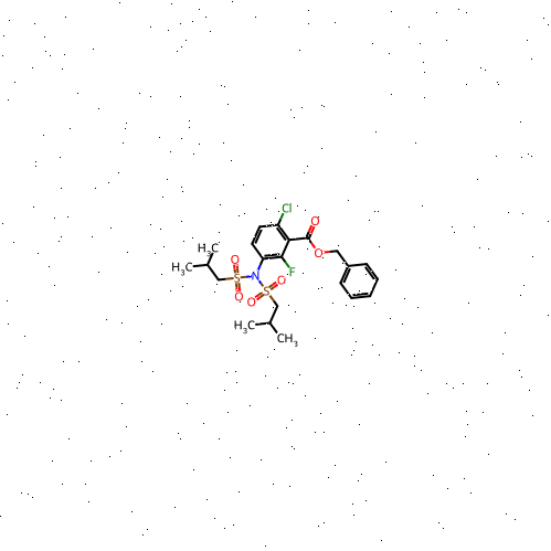 CC(C)CS(=O)(=O)N(c1ccc(Cl)c(C(=O)OCc2ccccc2)c1F)S(=O)(=O)CC(C)C